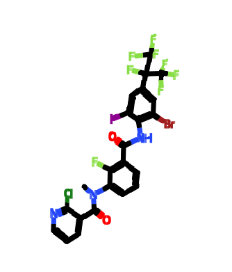 CN(C(=O)c1cccnc1Cl)c1cccc(C(=O)Nc2c(Br)cc(C(F)(C(F)(F)F)C(F)(F)F)cc2I)c1F